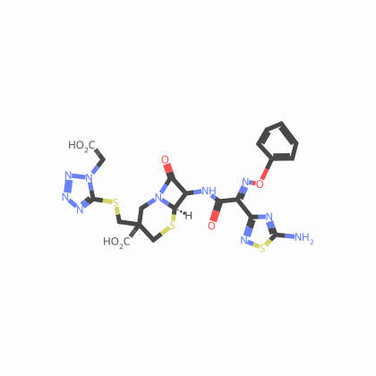 Nc1nc(C(=NOc2ccccc2)C(=O)NC2C(=O)N3CC(CSc4nnnn4CC(=O)O)(C(=O)O)CS[C@H]23)ns1